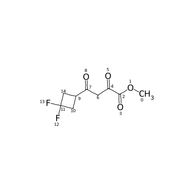 COC(=O)C(=O)CC(=O)C1CC(F)(F)C1